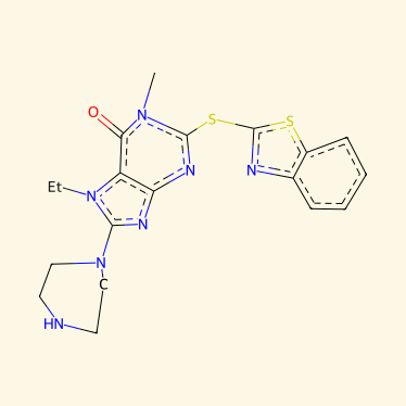 CCn1c(N2CCNCC2)nc2nc(Sc3nc4ccccc4s3)n(C)c(=O)c21